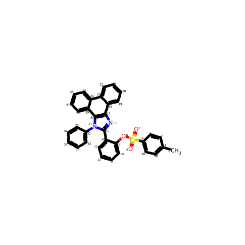 Cc1ccc(S(=O)(=O)Oc2ccccc2-c2nc3c4ccccc4c4ccccc4c3n2-c2ccccc2)cc1